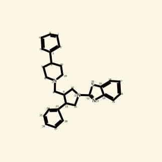 c1ccc(C2CCN(CC3CN(c4nc5ccccc5s4)CC3c3ccccc3)CC2)cc1